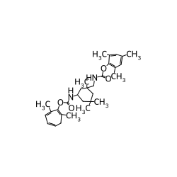 CC1=CC=CCC(C)=C1OC(=O)NC1CC(C)(C)CC(C)(CNC(=O)Oc2c(C)cc(C)cc2C)C1